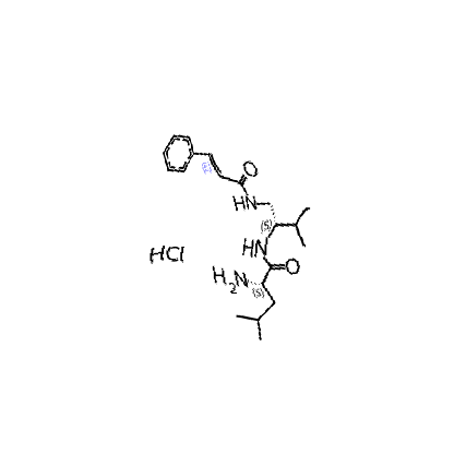 CC(C)C[C@H](N)C(=O)N[C@H](CNC(=O)/C=C/c1ccccc1)C(C)C.Cl